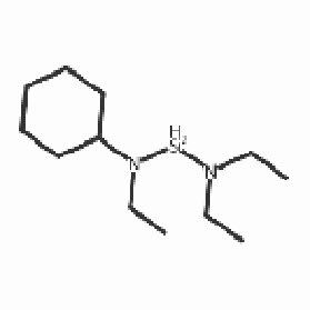 CCN(CC)[SiH2]N(CC)C1CCCCC1